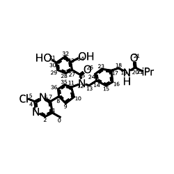 Cc1cnc(Cl)nc1-c1ccc(N(Cc2ccc(CNC(=O)C(C)C)cc2)C(=O)c2ccc(O)cc2O)cc1